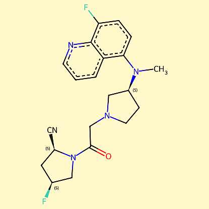 CN(c1ccc(F)c2ncccc12)[C@H]1CCN(CC(=O)N2C[C@@H](F)C[C@H]2C#N)C1